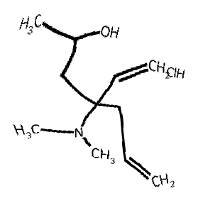 C=CCC(C=C)(CC(C)O)N(C)C.Cl